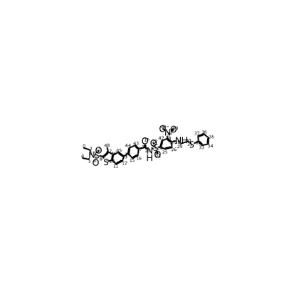 CCN(CC)S(=O)(=O)c1sc2ccc(-c3ccc(C(=O)NS(=O)(=O)c4ccc(NCCSc5ccccc5)c([N+](=O)[O-])c4)cc3)cc2c1C